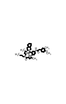 CCCCN(CCCC)C(=O)c1cc(C)n(-c2ccc(NC(=O)Cc3ccc(OC)c(C)c3)cc2C(=O)N2Cc3ccccc3C[C@H]2CO)n1